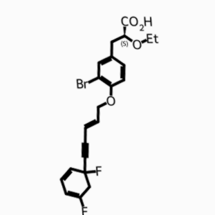 CCO[C@@H](Cc1ccc(OCC=CC#CC2(F)C=CC=C(F)C2)c(Br)c1)C(=O)O